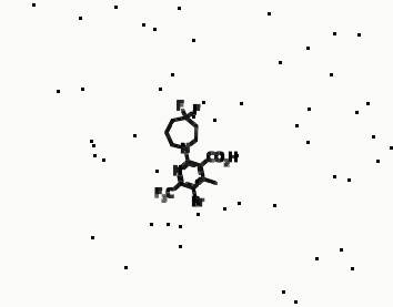 Cc1c(Br)c(C(F)(F)F)nc(N2CCCC(F)(F)CC2)c1C(=O)O